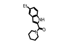 CCc1ccc2[nH]c(C(=O)N3CCCCC3)cc2c1